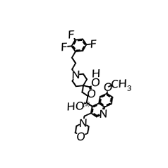 COc1ccc2ncc(CN3CCOCC3)c([C@@H](O)CCC3(C(=O)O)CCN(CCCc4cc(F)cc(F)c4F)CC3)c2c1